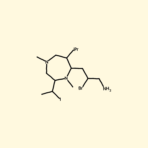 CC(C)C1CN(C)CC(C(C)I)N(C)C1CC(Br)CN